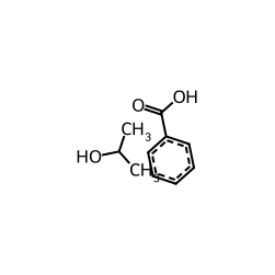 CC(C)O.O=C(O)c1ccccc1